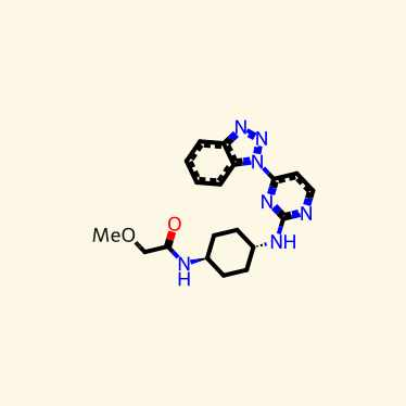 COCC(=O)N[C@H]1CC[C@H](Nc2nccc(-n3nnc4ccccc43)n2)CC1